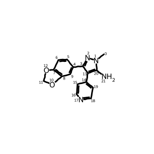 Cn1nc(-c2ccc3c(c2)OCO3)c(-c2ccncc2)c1N